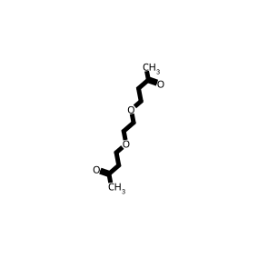 CC(=O)CCOCCOCCC(C)=O